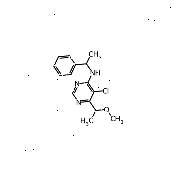 COC(C)c1ncnc(NC(C)c2ccccc2)c1Cl